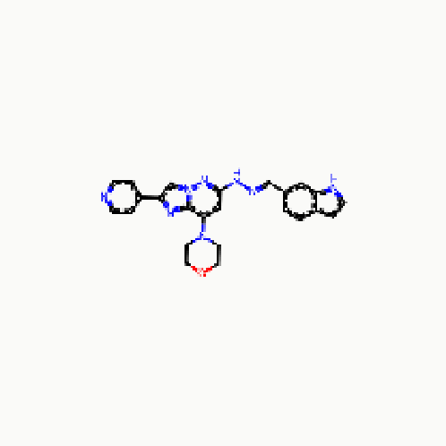 C(=N\Nc1cc(N2CCOCC2)c2nc(-c3ccncc3)cn2n1)/c1ccc2cc[nH]c2c1